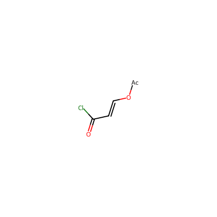 CC(=O)OC=CC(=O)Cl